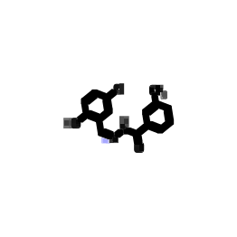 O=C(N/N=C\c1cc(Cl)ccc1O)c1cccc(C(F)(F)F)c1